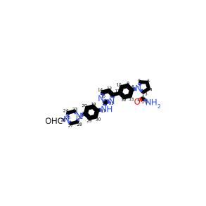 NC(=O)[C@H]1CCCN1c1ccc(-c2ccnc(Nc3ccc(N4CCN(C=O)CC4)cc3)n2)cc1